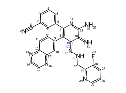 N#Cc1cccc(C2=C(c3ccc4nccnc4c3)/C(=N/NCc3ncccc3F)C(=N)C(N)=N2)c1